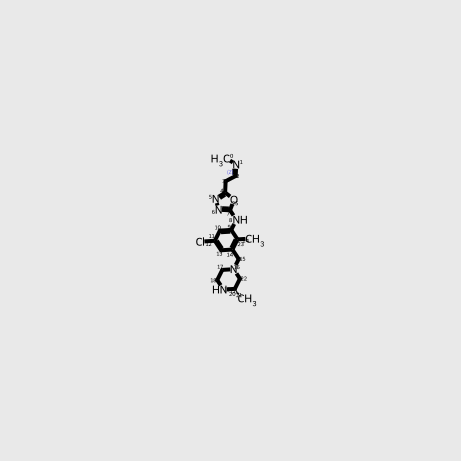 C/N=C\Cc1nnc(Nc2cc(Cl)cc(CN3CCN[C@@H](C)C3)c2C)o1